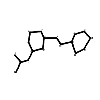 CC(C)CC1CCCC(CCC2CCCCC2)C1